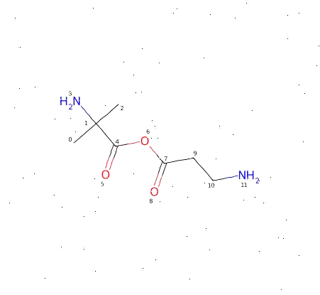 CC(C)(N)C(=O)OC(=O)CCN